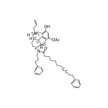 C=CCN1CC[C@]23c4c5c(O)cc(OC(C)=O)c4O[C@H]2[C@H](N(CCCc2ccccc2)C(=O)CCCCCCCCCCc2ccccc2)CC[C@H]3[C@H]1C5